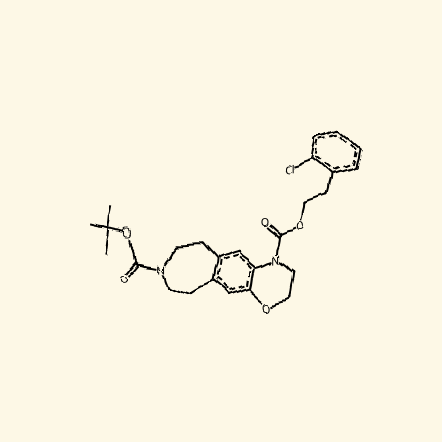 CC(C)(C)OC(=O)N1CCc2cc3c(cc2CC1)N(C(=O)OCCc1ccccc1Cl)CCO3